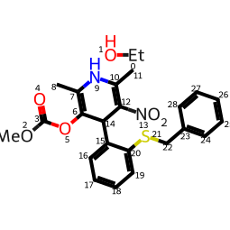 CCO.COC(=O)OC1=C(C)NC(C)=C([N+](=O)[O-])C1c1ccccc1SCc1ccccc1